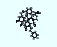 CCCCC1CCN2C(=O)c3c(OCc4ccccc4)c(=O)ccn3N(C3c4cc(F)c(F)cc4CSc4ccccc43)C2C1